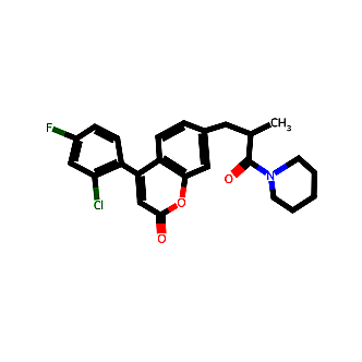 CC(Cc1ccc2c(-c3ccc(F)cc3Cl)cc(=O)oc2c1)C(=O)N1CCCCC1